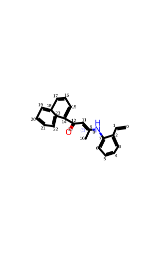 C=Cc1ccccc1N/C(C)=C/C(=O)c1cccc2ccccc12